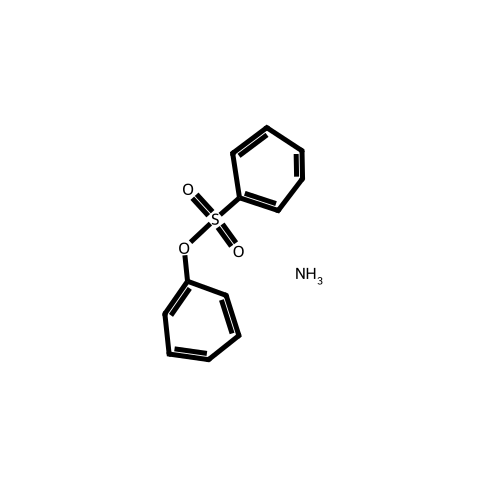 N.O=S(=O)(Oc1ccccc1)c1ccccc1